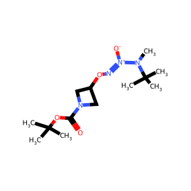 CN(/[N+]([O-])=N/OC1CN(C(=O)OC(C)(C)C)C1)C(C)(C)C